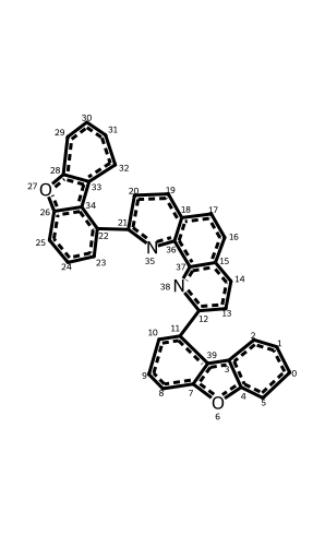 c1ccc2c(c1)oc1cccc(-c3ccc4ccc5ccc(-c6cccc7oc8ccccc8c67)nc5c4n3)c12